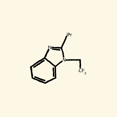 CC(C)c1nc2ccccc2n1CC(F)(F)F